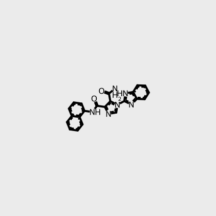 NC(=O)c1c(C(=O)Nc2cccc3ccccc23)ncn1-c1nc2ccccc2[nH]1